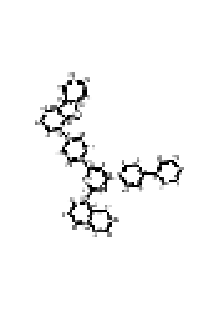 c1ccc(-c2ccc(-c3cc(-c4ccc(-c5cccc6c5oc5ccccc56)cc4)nc(-c4cccc5ccccc45)n3)cc2)cc1